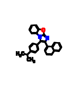 CC(C)c1ccc(-c2c(-c3cccc4ccccc34)nc3oc4ccccc4n23)cc1